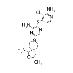 C[C@H]1CC2(CCN(c3cnc(Sc4ccnc(N)c4Cl)c(N)n3)CC2)C(N)O1